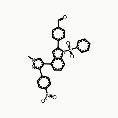 Cn1cc(-c2cccc3c2cc(-c2ccc(C=O)cc2)n3S(=O)(=O)c2ccccc2)c(-c2ccc([N+](=O)[O-])cc2)n1